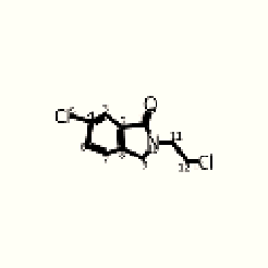 O=C1c2cc(Cl)ccc2CN1CCCl